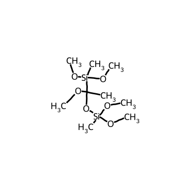 COC(C)(O[Si](C)(OC)OC)[Si](C)(OC)OC